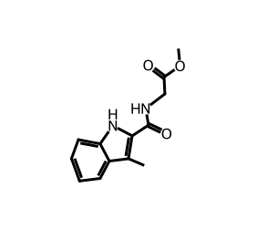 COC(=O)CNC(=O)c1[nH]c2ccccc2c1C